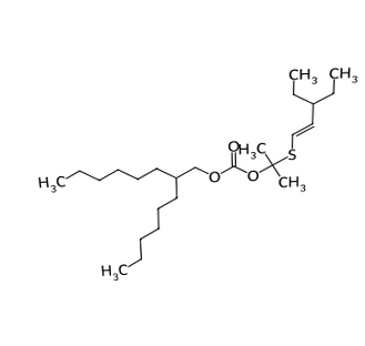 CCCCCCC(CCCCCC)COC(=O)OC(C)(C)S/C=C/C(CC)CC